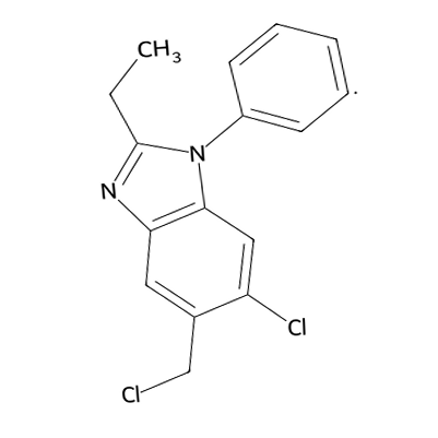 CCc1nc2cc(CCl)c(Cl)cc2n1-c1c[c]ccc1